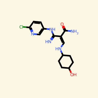 N=C(Nc1ccc(Cl)nc1)/C(=C\NC1CCC(O)CC1)C(N)=O